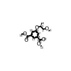 COC[C@H](C)Oc1cc(C(=O)OC)cc(C(=O)OC)c1